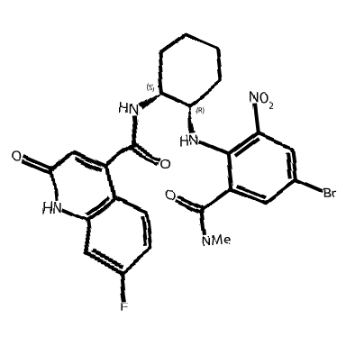 CNC(=O)c1cc(Br)cc([N+](=O)[O-])c1N[C@@H]1CCCC[C@@H]1NC(=O)c1cc(=O)[nH]c2cc(F)ccc12